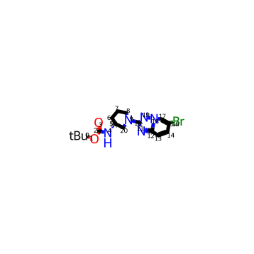 CC(C)(C)OC(=O)N[C@@H]1CCCN(c2nc3ccc(Br)cn3n2)C1